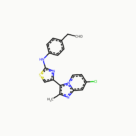 Cc1nc2cc(Cl)ccn2c1-c1csc(Nc2ccc(CC=O)cc2)n1